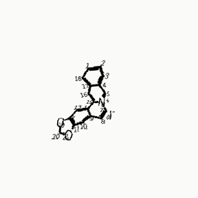 [I-].c1ccc2c[n+]3ccc4cc5c(cc4c3cc2c1)OCO5